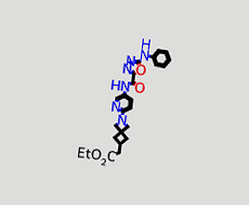 CCOC(=O)CC1CC2(C1)CN(c1ccc(NC(=O)c3nnc(Nc4ccccc4)o3)cn1)C2